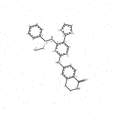 O=C1NCCc2cc(Nc3ncc(-c4ncco4)c(N[C@H](CO)c4ccccc4)n3)ccc21